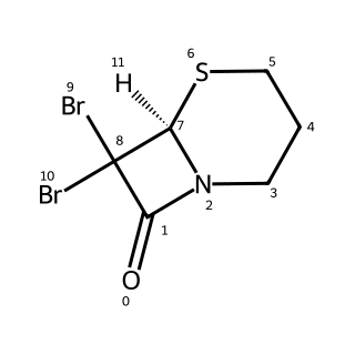 O=C1N2CCCS[C@@H]2C1(Br)Br